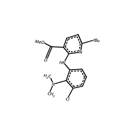 COC(=O)c1ccc(C(C)(C)C)nc1Nc1cccc(Cl)c1N(C)C